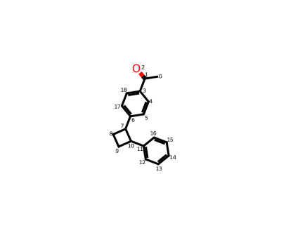 CC(=O)c1ccc(C2CCC2c2ccccc2)cc1